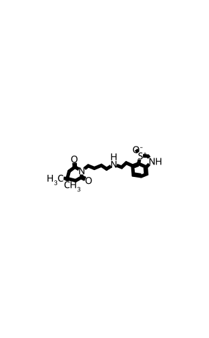 CC1(C)CC(=O)N(CCCCNCCc2cccc3c2[S+]([O-])CN3)C(=O)C1